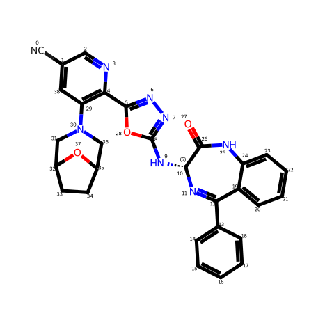 N#Cc1cnc(-c2nnc(N[C@H]3N=C(c4ccccc4)c4ccccc4NC3=O)o2)c(N2CC3CCC(C2)O3)c1